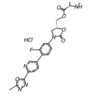 Cc1nnc(-c2ccc(-c3ccc(N4C[C@H](COC(=O)[C@H]5CCCN5)OC4=O)cc3F)cn2)o1.Cl